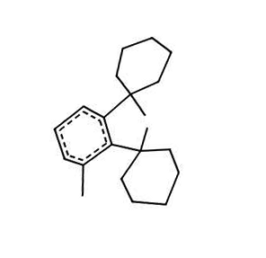 Cc1cccc(C2(C)CCCCC2)c1C1(C)CCCCC1